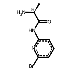 C[C@H](N)C(=O)Nc1cccc(Br)n1